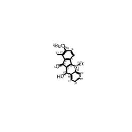 CCN1C2=C(C(=O)c3c2ccc(OCC(C)C)c3C)C(O)c2ccccc21